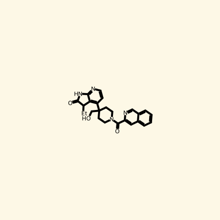 CCC1C(=O)Nc2nccc(C3(CO)CCN(C(=O)c4cc5ccccc5cn4)CC3)c21